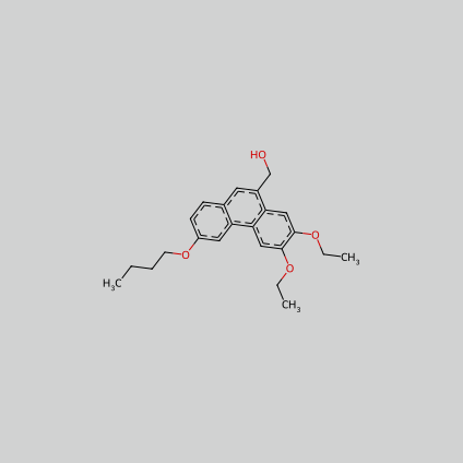 CCCCOc1ccc2cc(CO)c3cc(OCC)c(OCC)cc3c2c1